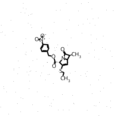 CCSC1=CC2[C@H](C)C(=O)N2[C@H]1C(=O)OCc1ccc([N+](=O)[O-])cc1